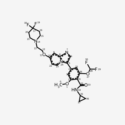 COc1cc(-c2cnc3cc(OCCN4CCC(F)(F)CC4)ccn23)cc(OC(F)F)c1C(=O)NC1CC1